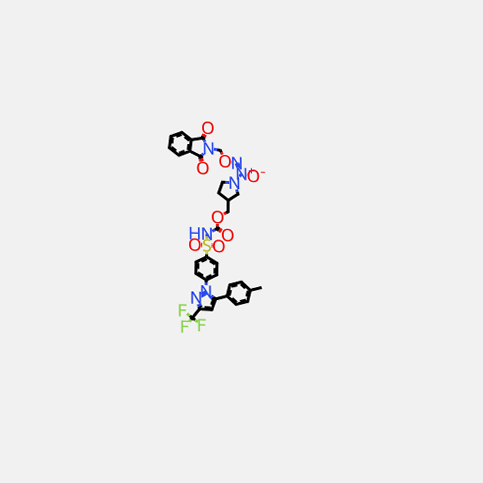 Cc1ccc(-c2cc(C(F)(F)F)nn2-c2ccc(S(=O)(=O)NC(=O)OCC3CCN(/[N+]([O-])=N\OCN4C(=O)c5ccccc5C4=O)C3)cc2)cc1